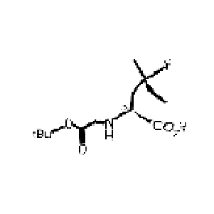 CC(C)(F)C[C@H](NCC(=O)OC(C)(C)C)C(=O)O